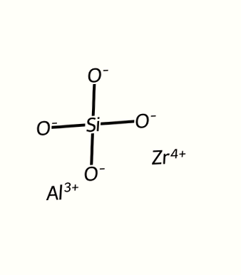 [Al+3].[O-][Si]([O-])([O-])[O-].[Zr+4]